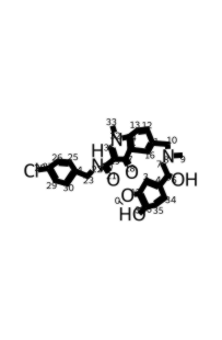 COc1cc(C(O)CN(C)Cc2ccc3c(c2)c(=O)c(C(=O)NCc2ccc(Cl)cc2)cn3C)ccc1O